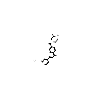 COc1cc(-c2cc(Cl)c3ccc(C(=O)N4CCN(C(=O)O)C(C)C4)cc3n2)ccn1